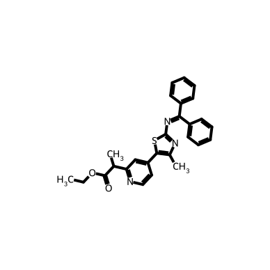 CCOC(=O)C(C)c1cc(-c2sc(N=C(c3ccccc3)c3ccccc3)nc2C)ccn1